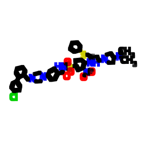 CN(C)C1CCN(CC[C@H](CSc2ccccc2)Nc2ccc(S(=O)(=O)NC(=O)c3ccc(N4CCN(Cc5ccccc5-c5ccc(Cl)cc5)CC4)cc3)cc2[N+](=O)[O-])CC1